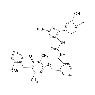 COc1ccccc1Cn1c(C)cc(OCc2ccccc2CNC(=O)Nc2cc(C(C)(C)C)nn2-c2ccc(Cl)c(O)c2)c(C)c1=O